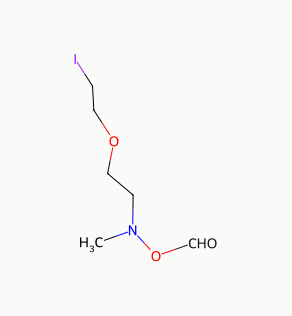 CN(CCOCCI)OC=O